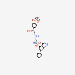 O=S(=O)(NCCNCCC(O)c1ccc(S(=O)(=O)C(F)(F)F)cc1)c1cc(-c2ccccc2)cc2cnccc12